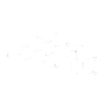 COc1ccc2c(c1OC)C(=O)OC2[C@H]1c2c(c(-c3ccc(O)cc3)c(O)c(O)c2OC)CCN1C